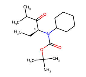 CC[C@@H](C(=O)C(C)C)N(C(=O)OC(C)(C)C)C1CCCCC1